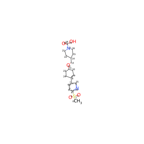 CS(=O)(=O)c1ccc(C2=CCC(OCC3CCN(C(=O)O)CC3)CC2)cn1